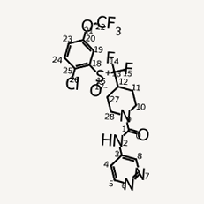 O=C(Nc1ccnnc1)N1CCC(C(F)(F)[S+]([O-])c2cc(OC(F)(F)F)ccc2Cl)CC1